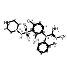 N#CN=C(N)N(c1ccccc1Br)c1ccc(Cl)c(S(=O)(=O)NN2CCNCC2)c1O